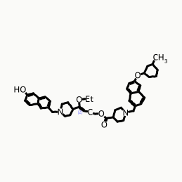 CCO/C(=C\CCOC(=O)C1CCN(Cc2ccc3cc(OC4CCCC(C)C4)ccc3c2)CC1)C1CCN(Cc2ccc3cc(O)ccc3c2)CC1